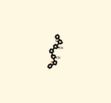 N#Cc1cc(-c2cccc(-c3ccc(-c4cccc5c4sc4ccccc45)c(C#N)c3)c2)ccc1-c1cccc2c1sc1ccccc12